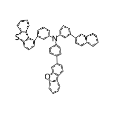 c1cc(-c2ccc3ccccc3c2)cc(N(c2ccc(-c3ccc4c(c3)oc3ccccc34)cc2)c2cccc(-c3cccc4sc5ccccc5c34)c2)c1